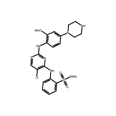 CNS(=O)(=O)c1ccccc1Nc1nc(Nc2ccc(N3CCNCC3)cc2OC)ncc1Cl